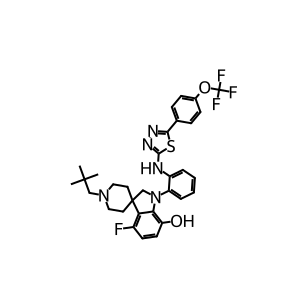 CC(C)(C)CN1CCC2(CC1)CN(c1ccccc1Nc1nnc(-c3ccc(OC(F)(F)F)cc3)s1)c1c(O)ccc(F)c12